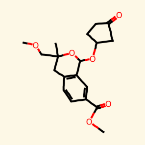 COCC1(C)Cc2ccc(C(=O)OC)cc2C(OC2CCC(=O)C2)O1